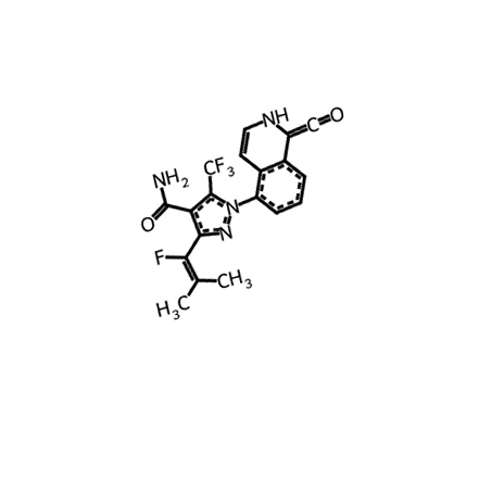 CC(C)=C(F)c1nn(-c2cccc3c2C=CNC3=C=O)c(C(F)(F)F)c1C(N)=O